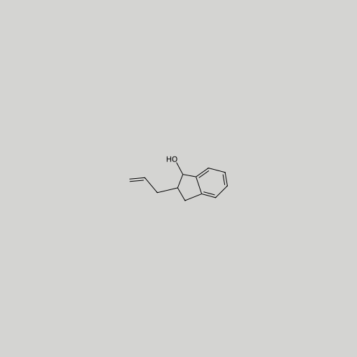 C=CCC1Cc2ccccc2C1O